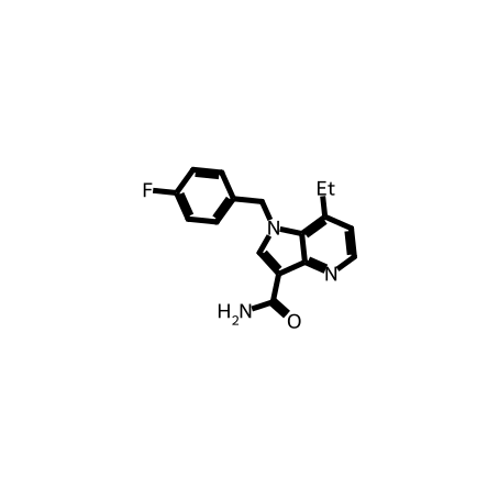 CCc1ccnc2c(C(N)=O)cn(Cc3ccc(F)cc3)c12